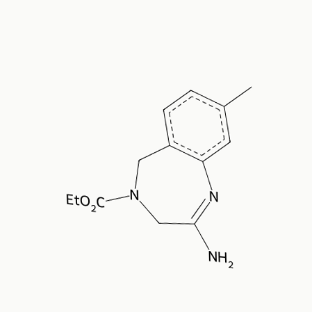 CCOC(=O)N1CC(N)=Nc2cc(C)ccc2C1